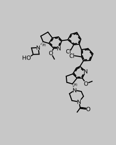 COc1nc(-c2cccc(-c3cccc(-c4cc5c(c(OC)n4)[C@H](N4CC(O)C4)CC5)c3Cl)c2Cl)cc2c1[C@H](N1CCN(C(C)=O)CC1)CC2